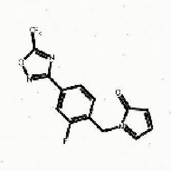 O=C1C=CC=[N+]1Cc1ccc(-c2noc(C(F)(F)F)n2)cc1F